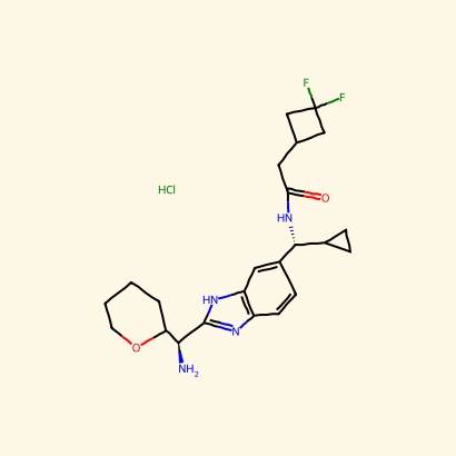 Cl.N[C@H](c1nc2ccc([C@H](NC(=O)CC3CC(F)(F)C3)C3CC3)cc2[nH]1)C1CCCCO1